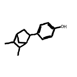 CC1C2CC(c3ccc(O)cc3)C(C2)C1C